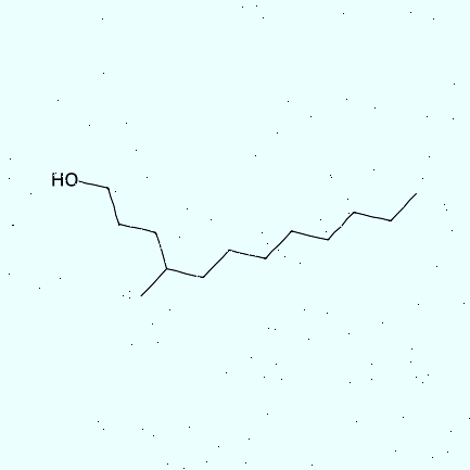 CCCCCCCCC(C)CCCO